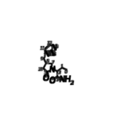 CCC(C(N)=O)N1CC(Cn2ccnn2)CC1=O